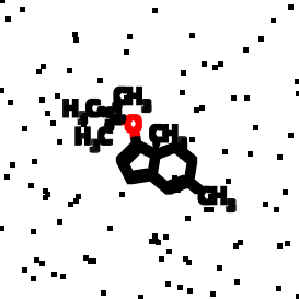 CC1=CC2=CC=C(O[Si](C)(C)C)[C@@]2(C)CC1